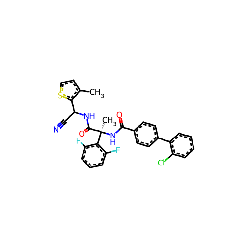 Cc1ccsc1C(C#N)NC(=O)[C@@](C)(NC(=O)c1ccc(-c2ccccc2Cl)cc1)c1c(F)cccc1F